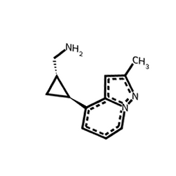 Cc1cc2c([C@H]3C[C@@H]3CN)cccn2n1